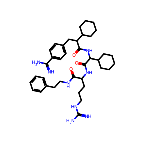 N=C(N)NCCCC(NC(=O)C(NC(=O)C(Cc1ccc(C(=N)N)cc1)C1CCCCC1)C1CCCCC1)C(=O)NCCc1ccccc1